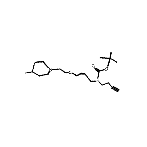 C#CCCN(CCCOCCN1CCC(C)CC1)C(=O)OC(C)(C)C